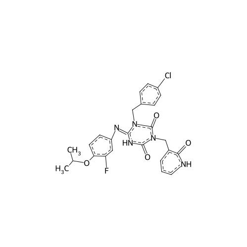 CC(C)Oc1ccc(/N=c2\[nH]c(=O)n(Cc3ccc[nH]c3=O)c(=O)n2Cc2ccc(Cl)cc2)cc1F